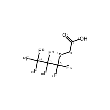 O=C(O)CSC(F)(F)C(F)(F)C(F)(F)F